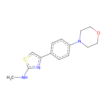 CNc1nc(-c2ccc(N3CCOCC3)cc2)cs1